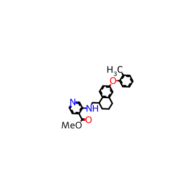 COC(=O)c1ccncc1NCC1CCCc2cc(Oc3ccccc3C)ccc21